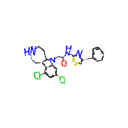 O=C(Cn1c2c(c3c(Cl)cc(Cl)cc31)CCNCC2)Nc1nc(-c2ccccc2)cs1